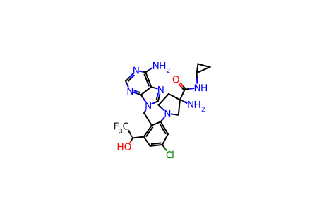 Nc1ncnc2c1ncn2Cc1c([C@@H](O)C(F)(F)F)cc(Cl)cc1N1CC[C@](N)(C(=O)NC2CC2)C1